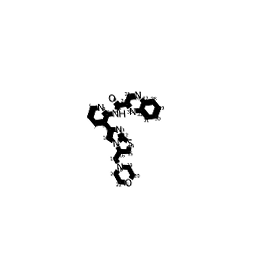 O=C(Nc1ncccc1-c1cn2c(n1)SCC2CN1CCOCC1)c1cnc2ccccc2n1